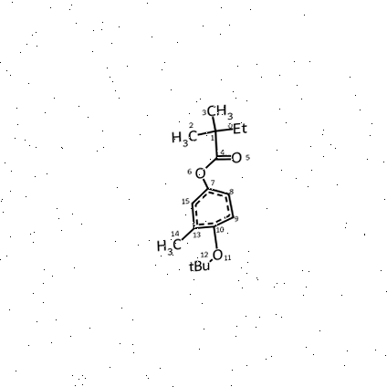 CCC(C)(C)C(=O)Oc1ccc(OC(C)(C)C)c(C)c1